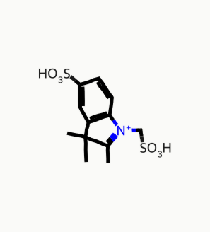 CC1=[N+](CS(=O)(=O)O)c2ccc(S(=O)(=O)O)cc2C1(C)C